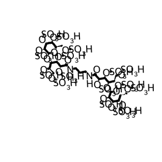 O=C(NCCCNC(=O)[C@H](OS(=O)(=O)O)[C@@H](OS(=O)(=O)O)[C@H](O[C@@H]1O[C@H](COS(=O)(=O)O)[C@H](OS(=O)(=O)O)[C@H](OS(=O)(=O)O)[C@H]1OS(=O)(=O)O)[C@@H](COS(=O)(=O)O)OS(=O)(=O)O)[C@H](OS(=O)(=O)O)[C@@H](OS(=O)(=O)O)[C@H](O[C@@H]1O[C@H](COS(=O)(=O)O)[C@H](OS(=O)(=O)O)[C@H](OS(=O)(=O)O)[C@H]1OS(=O)(=O)O)[C@@H](COS(=O)(=O)O)OS(=O)(=O)O